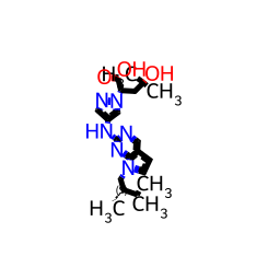 CC[C@H](Cn1ccc2cnc(Nc3cnn(C(CC(C)(C)O)C(=O)O)c3)nc21)C(C)C